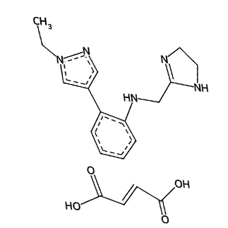 CCn1cc(-c2ccccc2NCC2=NCCN2)cn1.O=C(O)C=CC(=O)O